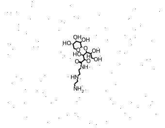 NCCNCCNC(=O)C(O)C(O)C(O[C@@H]1OC[C@H](O)[C@H](O)C1O)C(O)CO